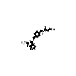 Nc1nc(OCc2ccc(CNC(=O)CCS)cc2)c2nc[nH]c2n1